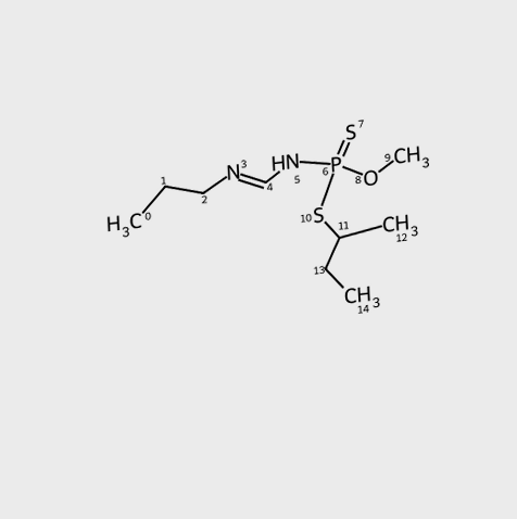 CCCN=CNP(=S)(OC)SC(C)CC